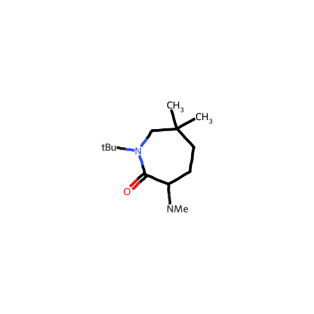 CNC1CCC(C)(C)CN(C(C)(C)C)C1=O